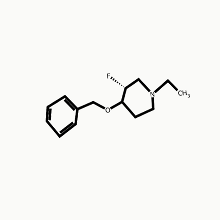 CCN1CCC(OCc2ccccc2)[C@H](F)C1